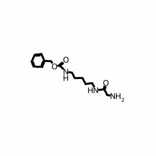 NCC(=O)NCCCCCNC(=O)OCc1ccccc1